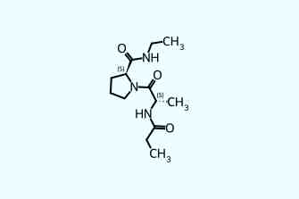 CCNC(=O)[C@@H]1CCCN1C(=O)[C@H](C)NC(=O)CC